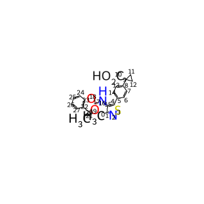 Cc1nsc(-c2ccc(C3(C(=O)O)CC3)cc2)c1NC(=O)OC(C)c1ccccc1